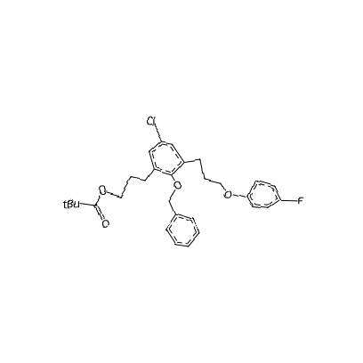 CC(C)(C)C(=O)OCCCc1cc(Cl)cc(CCCOc2ccc(F)cc2)c1OCc1ccccc1